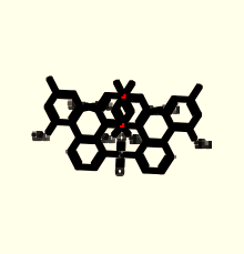 Cc1cc(C(C)(C)C)c(-c2[c]ccc(S(=O)(=O)c3cc[c]c(-c4c(C(C)(C)C)cc(C)cc4C(C)(C)C)c3-c3c(C(C)(C)C)cc(C)cc3C(C)(C)C)c2-c2c(C(C)(C)C)cc(C)cc2C(C)(C)C)c(C(C)(C)C)c1